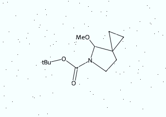 COC1N(C(=O)OC(C)(C)C)CCC12CC2